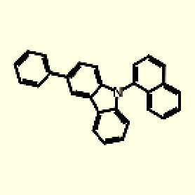 c1ccc(-c2ccc3c(c2)c2ccccc2n3-c2cccc3ccccc23)cc1